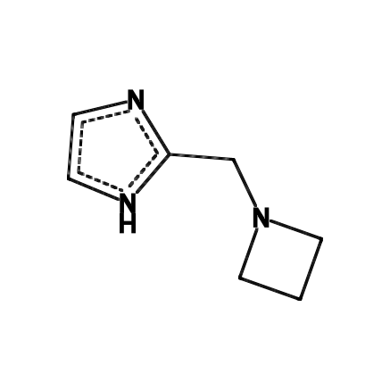 c1c[nH]c(CN2CCC2)n1